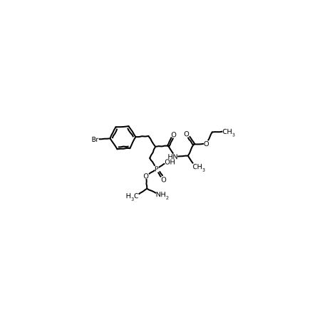 CCOC(=O)C(C)NC(=O)C(Cc1ccc(Br)cc1)CP(=O)(O)OC(C)N